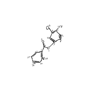 O=C(Oc1ccc(Cl)c(Cl)c1)c1ccncn1